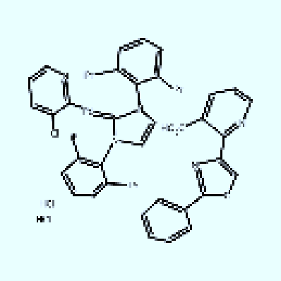 CC(C)c1cccc(C(C)C)c1-n1ccn(-c2c(C(C)C)cccc2C(C)C)[c]1=[Pd][c]1ncccc1Cl.Cl.Cl.O=C(O)c1cccnc1-c1coc(-c2ccccc2)n1